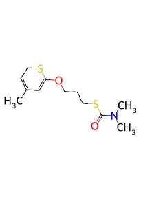 CC1=CCSC(OCCCSC(=O)N(C)C)=C1